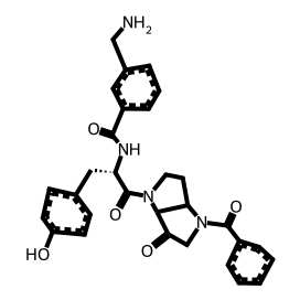 NCc1cccc(C(=O)N[C@@H](Cc2ccc(O)cc2)C(=O)N2CCC3C2C(=O)CN3C(=O)c2ccccc2)c1